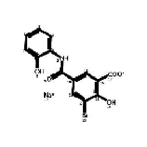 O=C(Nc1ccccc1O)c1cc(Br)c(O)c(C(=O)[O-])c1.[Na+]